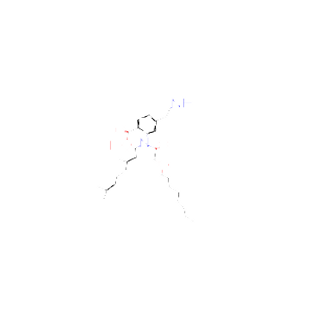 CCCCCCCCOCC(=O)N(C/C=C(\C)CCC=C(C)C)c1cc(CCN)ccc1C(=O)O